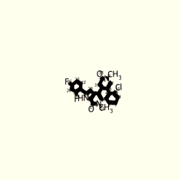 Cn1cc(-c2ccccc2Cl)c(-c2cn(C)c(=O)c3[nH]c(-c4ccc(F)cc4F)cc23)cc1=O